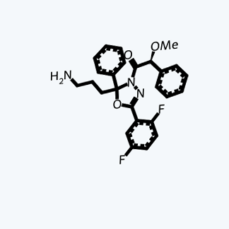 CO[C@H](C(=O)N1N=C(c2cc(F)ccc2F)OC1(CCCN)c1ccccc1)c1ccccc1